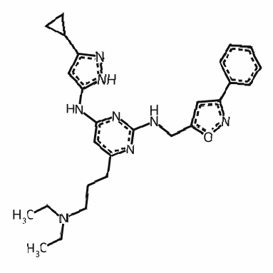 CCN(CC)CCCc1cc(Nc2cc(C3CC3)n[nH]2)nc(NCc2cc(-c3ccccc3)no2)n1